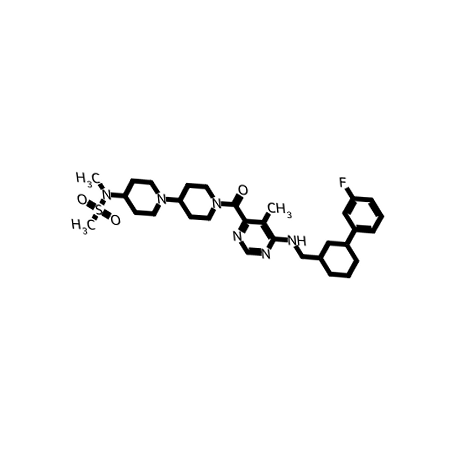 Cc1c(NCC2CCCC(c3cccc(F)c3)C2)ncnc1C(=O)N1CCC(N2CCC(N(C)S(C)(=O)=O)CC2)CC1